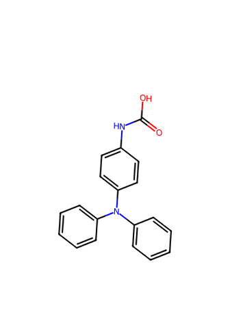 O=C(O)Nc1ccc(N(c2ccccc2)c2ccccc2)cc1